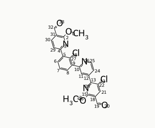 COc1nc(-c2cccc(-c3cc(-c4nc(OC)c(C=O)cc4Cl)ccn3)c2Cl)ccc1C=O